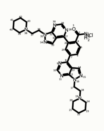 Cl.NC(=O)c1ccc(-c2ncnc3c2cnn3CCN2CCCCC2)cc1-c1ncnc2c1cnn2CCN1CCCCC1